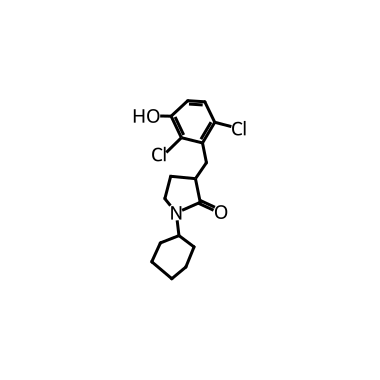 O=C1C(Cc2c(Cl)ccc(O)c2Cl)CCN1C1CCCCC1